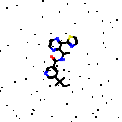 CCC(C)(C)c1cncc(C(=O)NC(C)c2nccnc2-c2nccs2)c1